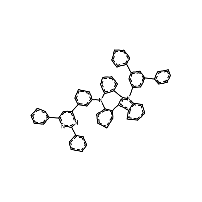 c1ccc(-c2cc(-c3ccccc3)cc(-n3c4c(c5ccccc53)-c3ccccc3N(c3cccc(-c5cc(-c6ccccc6)nc(-c6ccccc6)n5)c3)c3ccccc3-4)c2)cc1